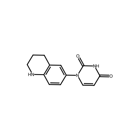 O=c1ccn(-c2ccc3c(c2)CCCN3)c(=O)[nH]1